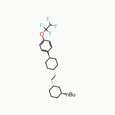 CCCC[C@H]1CCC[C@H](CC[C@H]2CC[C@H](c3ccc(OC(F)(F)C(F)F)cc3)CC2)C1